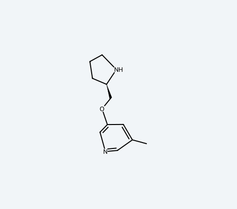 Cc1cncc(OC[C@H]2CCCN2)c1